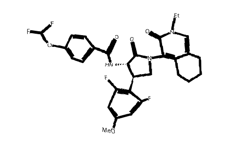 CCn1cc2c(c(N3C[C@@H](c4c(F)cc(OC)cc4F)[C@H](NC(=O)c4ccc(OC(F)F)cc4)C3=O)c1=O)CCCC2